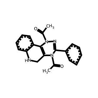 CC(=O)N1N=C(c2ccccc2)N(C(C)=O)C2=C1c1ccccc1NC2